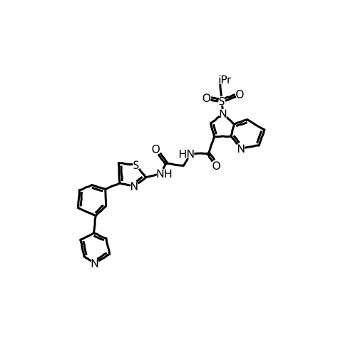 CC(C)S(=O)(=O)n1cc(C(=O)NCC(=O)Nc2nc(-c3cccc(-c4ccncc4)c3)cs2)c2ncccc21